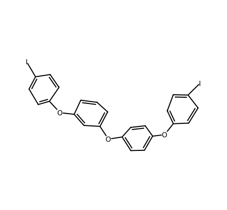 Ic1ccc(Oc2ccc(Oc3cccc(Oc4ccc(I)cc4)c3)cc2)cc1